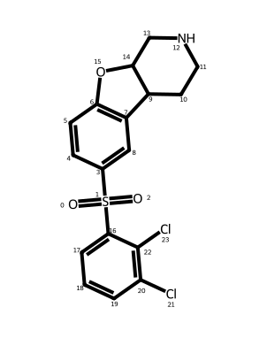 O=S(=O)(c1ccc2c(c1)C1CCNCC1O2)c1cccc(Cl)c1Cl